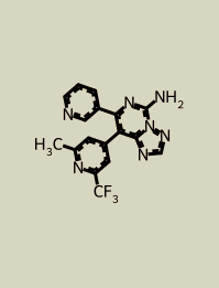 Cc1cc(-c2c(-c3cccnc3)nc(N)n3ncnc23)cc(C(F)(F)F)n1